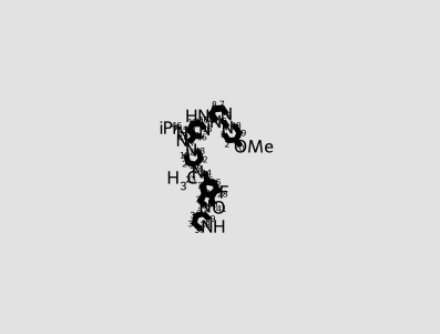 COC1CCN(c2nccc(Nc3cc4c(cn3)c(N3CCC(N(C)Cc5cc(F)c6c(c5)CN(C5CCCNC5)C6=O)CC3)nn4C(C)C)n2)CC1